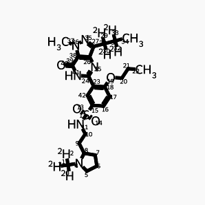 [2H]C([2H])([2H])N1CCCC1CCNS(=O)(=O)c1ccc(OCCC)c(-c2nc3c(C([2H])([2H])C([2H])([2H])C)nn(C)c3c(=O)[nH]2)c1